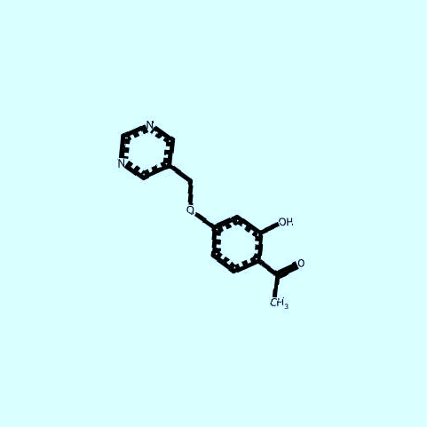 CC(=O)c1ccc(OCc2cncnc2)cc1O